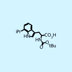 CC(C)c1cccc2c(CC(NC(=O)OC(C)(C)C)C(=O)O)c[nH]c12